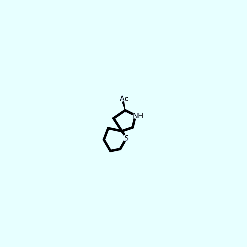 CC(=O)[C@@H]1CC2(CCCCS2)CN1